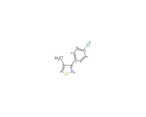 Cc1csnc1-c1ccc(Cl)cc1